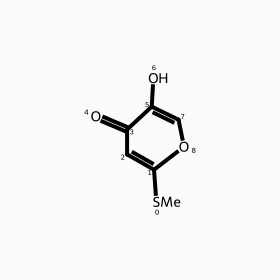 CSc1cc(=O)c(O)co1